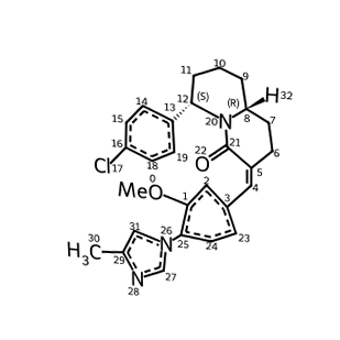 COc1cc(C=C2CC[C@H]3CCC[C@@H](c4ccc(Cl)cc4)N3C2=O)ccc1-n1cnc(C)c1